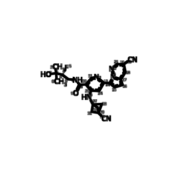 CC(C)(O)[C@H](F)CNC(=O)c1cnc(-c2ccc3cc(C#N)cnn23)cc1NC12CC(C#N)(C1)C2